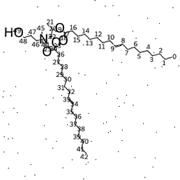 CCCCCCCCC=CCCCCCCCC(=O)OC(C)C(OC(=O)CCCCCCCC=CCCCCCCCC)[N+](C)(C)CCCO